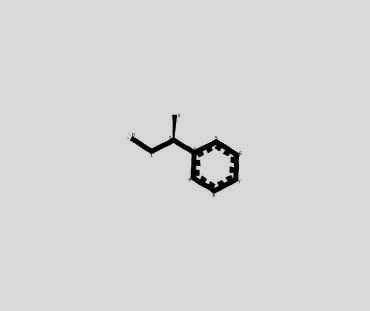 [CH2]C[C@@H](C)c1ccccc1